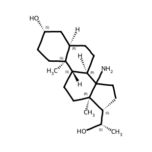 C[C@H](O)[C@H]1CCC2(N)[C@@H]3CC[C@@H]4C[C@@H](O)CC[C@]4(C)[C@H]3CC[C@]12C